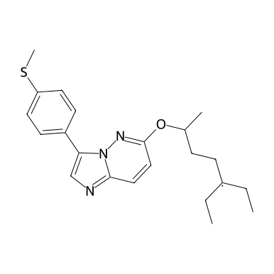 CC[C](CC)CCC(C)Oc1ccc2ncc(-c3ccc(SC)cc3)n2n1